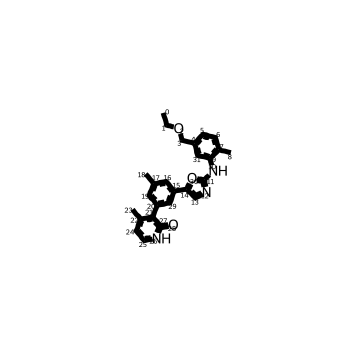 CCOCc1ccc(C)c(Nc2ncc(-c3cc(C)cc(-c4c(C)cc[nH]c4=O)c3)o2)c1